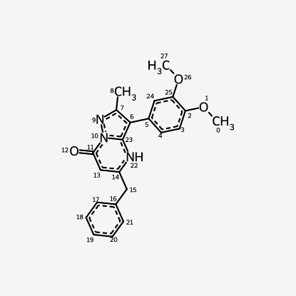 COc1ccc(-c2c(C)nn3c(=O)cc(Cc4ccccc4)[nH]c23)cc1OC